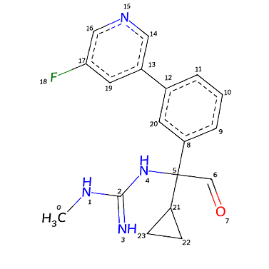 CNC(=N)NC(C=O)(c1cccc(-c2cncc(F)c2)c1)C1CC1